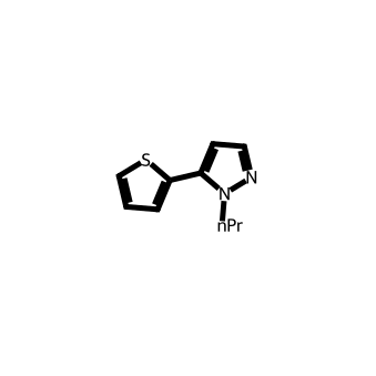 CCCn1nccc1-c1cccs1